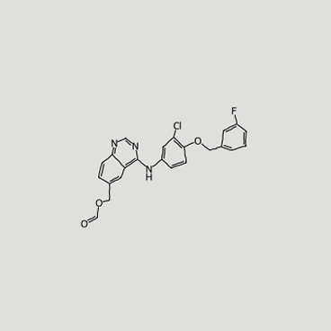 O=COCc1ccc2ncnc(Nc3ccc(OCc4cccc(F)c4)c(Cl)c3)c2c1